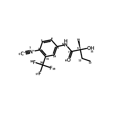 [C-]#[N+]c1ccc(NC(=O)[C@](C)(O)CC)cc1C(F)(F)F